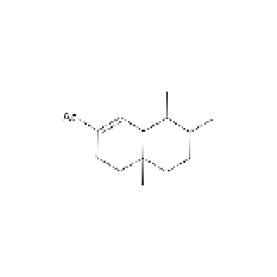 CC(=O)C1=CC2C(C)C(C)CCC2(C)CC1